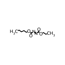 CCCCCOC(=O)N=NC(=O)OCCC